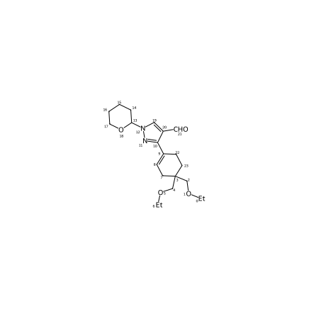 CCOCC1(COCC)CC=C(c2nn(C3CCCCO3)cc2C=O)CC1